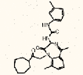 CC1=NC(NC(=O)Nc2cccc(C)c2)C(=O)N(CC(=O)C2CCCCCC2)c2c(C)cccc21